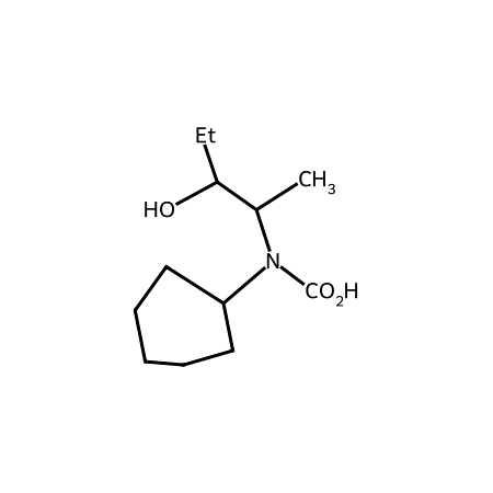 CCC(O)C(C)N(C(=O)O)C1CCCCC1